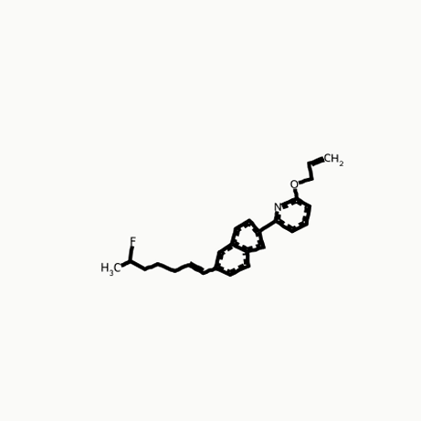 C=CCOc1cccc(-c2ccc3cc(C=CCCCC(C)F)ccc3c2)n1